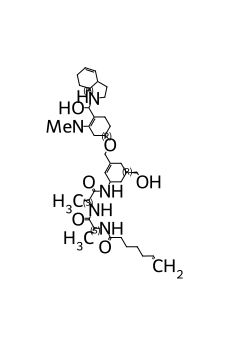 C=CCCCCC(=O)N[C@@H](C)C(=O)N[C@@H](C)C(=O)NC1C=C(CO[C@@H]2CCC(C(O)N3CCC4C=CCC[C@H]43)=C(NC)C2)C[C@@H](CO)C1